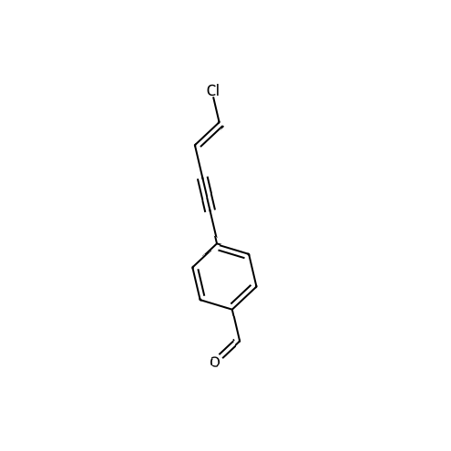 O=Cc1ccc(C#CC=CCl)cc1